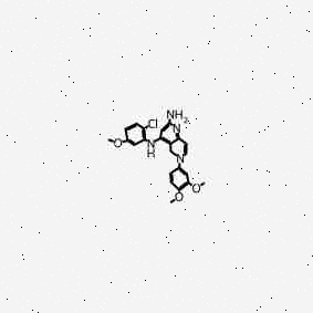 COc1ccc(Cl)c(Nc2cc(N)nc3c2CN(c2ccc(OC)c(OC)c2)C=C3)c1